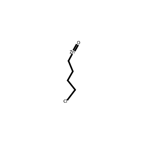 [O]=[Zn][CH2]CCCCl